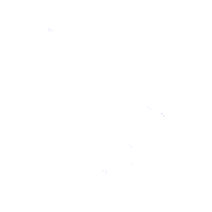 O=C(C1CC1)N1CCN(c2ccnn3cc(-c4ccc(OCC5CCN5)cc4)cc23)CC1